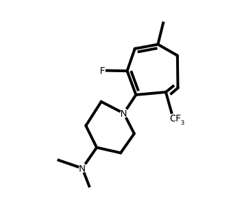 CC1=CC(F)=C(N2CCC(N(C)C)CC2)C(C(F)(F)F)=CC1